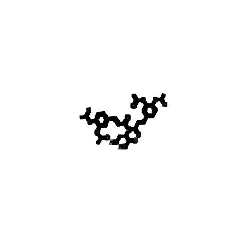 CC(=O)Oc1ccc(C=CC(=O)N(C(=O)C=Cc2ccc(OC(C)=O)c(OC(C)=O)c2)[C@H](CO)C(=O)O)cc1OC(C)=O